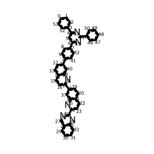 c1ccc(-c2cc(-c3ccc(-c4ccc5ccc(-c6ccc7ccc(-c8ncc9ccccc9n8)nc7c6)nc5c4)cc3)nc(-c3ccccc3)n2)cc1